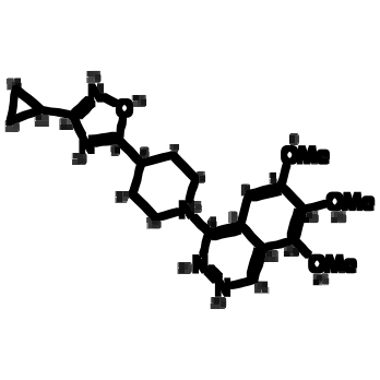 COc1cc2c(N3CCC(c4nc(C5CC5)no4)CC3)nncc2c(OC)c1OC